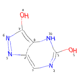 Oc1ncc2nnc(O)c-2[nH]1